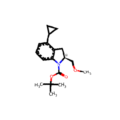 COC[C@@H]1Cc2c(C3CC3)cccc2N1C(=O)OC(C)(C)C